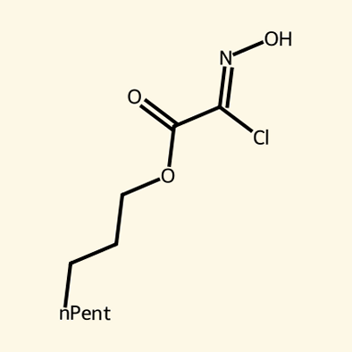 CCCCCCCCOC(=O)C(Cl)=NO